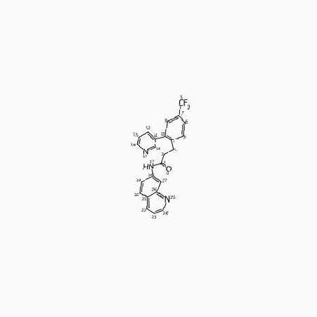 O=C(CCc1ccc(C(F)(F)F)cc1-c1cccnc1)Nc1ccc2cccnc2c1